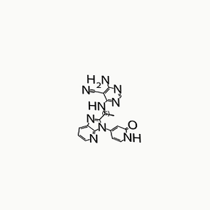 C[C@H](Nc1ncnc(N)c1C#N)c1nc2cccnc2n1-c1cc[nH]c(=O)c1